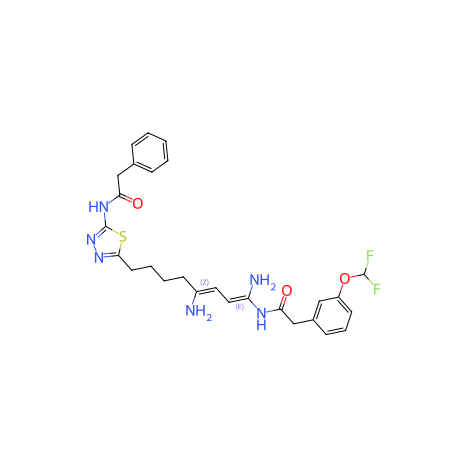 N/C(=C\C=C(/N)NC(=O)Cc1cccc(OC(F)F)c1)CCCCc1nnc(NC(=O)Cc2ccccc2)s1